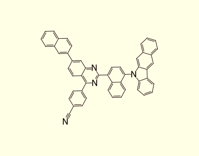 N#Cc1ccc(-c2nc(-c3ccc(-n4c5ccccc5c5cc6ccccc6cc54)c4ccccc34)nc3cc(-c4ccc5ccccc5c4)ccc23)cc1